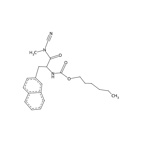 CCCCCCOC(=O)NC(Cc1ccc2ccccc2c1)C(=O)N(C)C#N